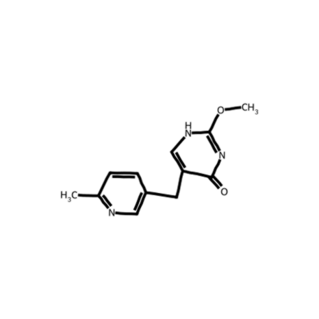 COc1nc(=O)c(Cc2ccc(C)nc2)c[nH]1